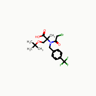 CC(C)(C)OCC(C)(C(=O)O)N(Cc1ccc(C(F)(F)F)cc1)C(=O)CBr